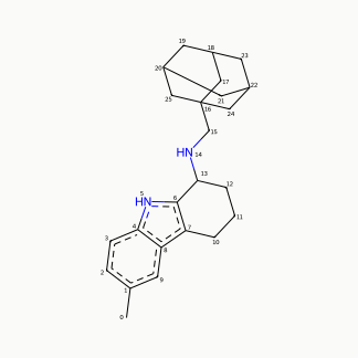 Cc1ccc2[nH]c3c(c2c1)CCCC3NCC12CC3CC(CC(C3)C1)C2